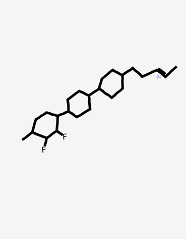 C/C=C/CCC1CCC(C2CCC(C3CCC(C)C(F)C3F)CC2)CC1